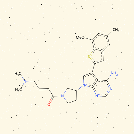 COc1cc(C)cc2cc(-c3cn(C4CCN(C(=O)C=CCN(C)C)C4)c4ncnc(N)c34)sc12